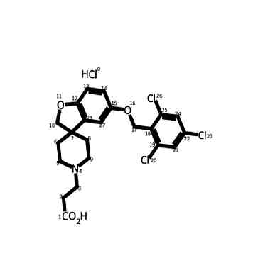 Cl.O=C(O)CCN1CCC2(CC1)COc1ccc(OCc3c(Cl)cc(Cl)cc3Cl)cc12